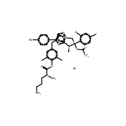 Cc1cc(C[n+]2cnn(C[C@](OC(=O)C(F)(F)F)(c3ccc(F)cc3F)[C@@H](C)c3nc(-c4ccc(C#N)cc4)cs3)c2)cc(C)c1OC(=O)[C@@H](N)CCCN.[Br-]